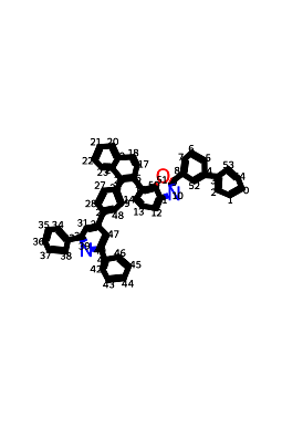 c1ccc(-c2cccc(-c3nc4cccc(-c5ccc6ccccc6c5-c5ccc(-c6cc(-c7ccccc7)nc(-c7ccccc7)c6)cc5)c4o3)c2)cc1